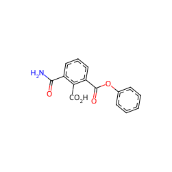 NC(=O)c1cccc(C(=O)Oc2ccccc2)c1C(=O)O